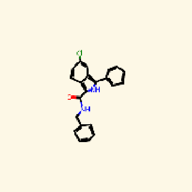 O=C(NCc1ccccc1)c1[nH]c(-c2ccccc2)c2cc(Cl)ccc12